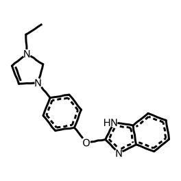 CCN1C=CN(c2ccc(Oc3nc4ccccc4[nH]3)cc2)C1